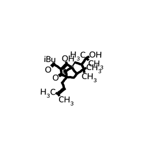 CCC(C)C(=O)C1=C(O)[C@]23CC(C(C)(C)O)C(C)(C)C2CC(CC=C(C)C)(C1=O)C3=O